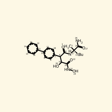 CC(C)(C)[C@](C)(NC(=O)C(c1ccc(-c2ccccc2)cc1)C(O)C(=O)NO)C(N)=O